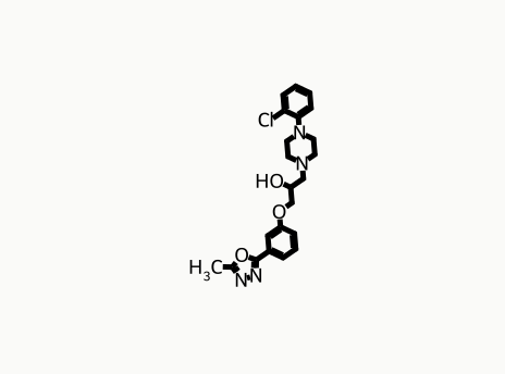 Cc1nnc(-c2cccc(OCC(O)CN3CCN(c4ccccc4Cl)CC3)c2)o1